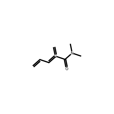 C=CC=I(=C)C(=O)N(C)C